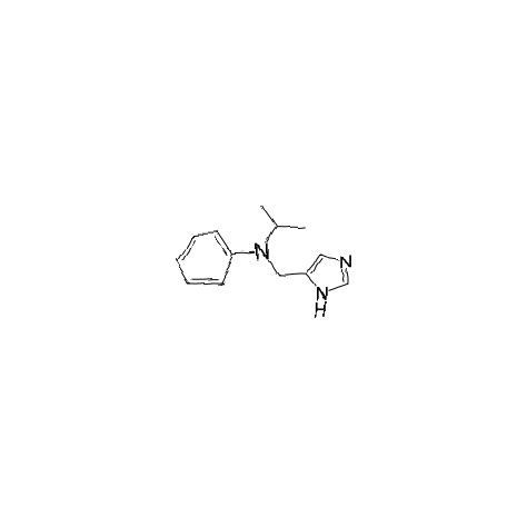 CC(C)N(Cc1cnc[nH]1)c1ccccc1